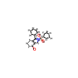 O=C1CCCc2c1cn(S(=O)(=O)c1ccccc1)c2-c1ccccc1